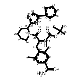 Cc1cc(C(N)=O)cc(C)c1CC(NC(=O)OC(C)(C)C)C(=O)N1CCCCC1c1nc(-c2ccccc2)c[nH]1